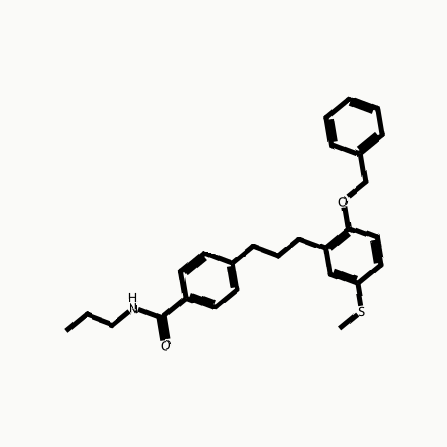 CCCNC(=O)c1ccc(CCCc2cc(SC)ccc2OCc2ccccc2)cc1